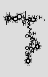 Cc1ccc2c(NCCCCNC(=O)c3cnc(N/N=C4/C(=O)N(c5nc(-c6ccccc6)cs5)N=C4c4ccccc4)s3)c(C(=O)N[C@H]3CCc4cc(N5C[C@H]6CC[C@@H](C5)N6)ccc4C3)sc2n1